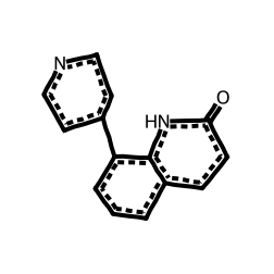 O=c1ccc2cccc(-c3ccncc3)c2[nH]1